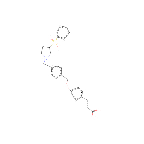 O=C(O)CCc1ccc(OCc2ccc(CN3CCC(S(=O)(=O)c4ccccc4)C3)cc2)cc1